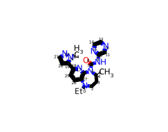 CCN1CC[C@@H](C)N(C(=O)Nc2cnccn2)c2nc(-c3ccnn3C)ccc21